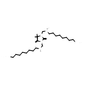 CCCCCCCCCCCCCCCCCCN(C)CN1C(=S)N(CN(C)CCCCCCCCCCCCCCCCCC)C(C)(C)C1=S